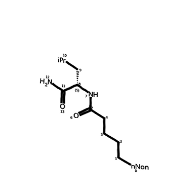 CCCCCCCCCCCCCC(=O)N[C@@H](CC(C)C)C(N)=O